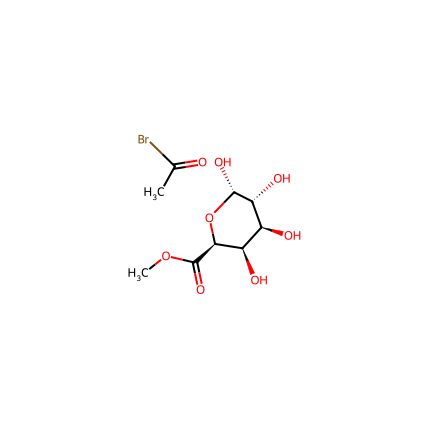 CC(=O)Br.COC(=O)[C@H]1O[C@H](O)[C@H](O)[C@@H](O)[C@H]1O